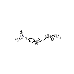 C/C=C(\CN)COc1ccc(S(=O)(=O)CCCCCNC(=O)CN)cc1